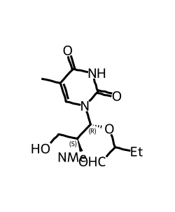 CCC(C=O)O[C@H]([C@H](CO)NC)n1cc(C)c(=O)[nH]c1=O